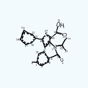 Cc1ccc(C(=O)N(c2cc(-c3ccccc3)sc2C(=O)O)C(C)C)cc1